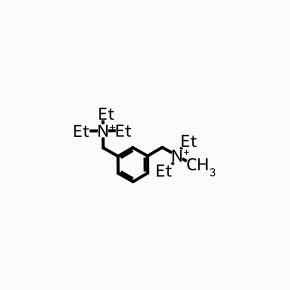 CC[N+](C)(CC)Cc1cccc(C[N+](CC)(CC)CC)c1